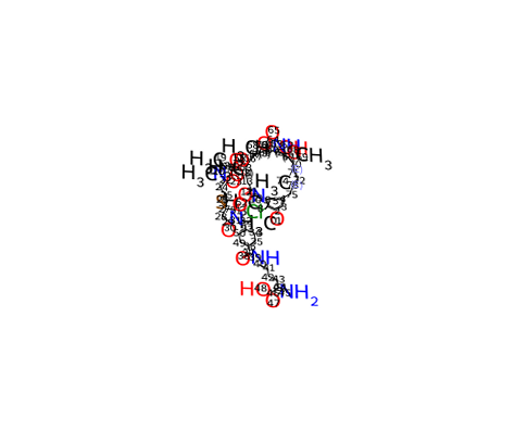 COc1cc2cc(c1Cl)N(C)C(=O)C[C@H](OC(=O)[C@H](C)N(C)C(=O)CCSC1CC(=O)N(CC3CCC(C(=O)NCCCC[C@H](N)C(=O)O)CC3)C1=O)C1(C)OC1[C@H](C)[C@@H]1C[C@@](O)(NC(=O)O1)[C@H](OC)/C=C/C=C(\C)C2